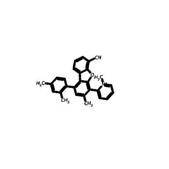 Cc1ccc(-c2cc(C)c(-c3cccc[n+]3C)c3oc4c(C#N)cccc4c23)c(C)c1